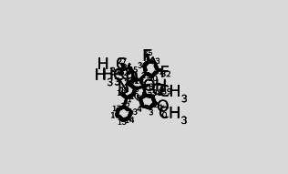 COc1cccc(C(O)(c2cc(-c3ccccc3)cnc2OC)C(CCN(C)C)c2cc(F)cc(F)c2)c1OC